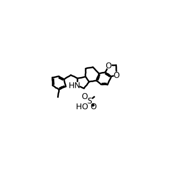 CS(=O)(=O)O.Cc1cccc(CC2NCC3c4ccc5c(c4CCC23)OCO5)c1